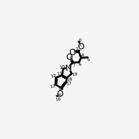 COC(=O)C(C)CC(=O)N1Cc2ccc(OC)cc2C1